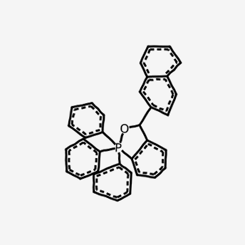 c1ccc(P2(c3ccccc3)(c3ccccc3)OC(c3ccc4ccccc4c3)c3ccccc32)cc1